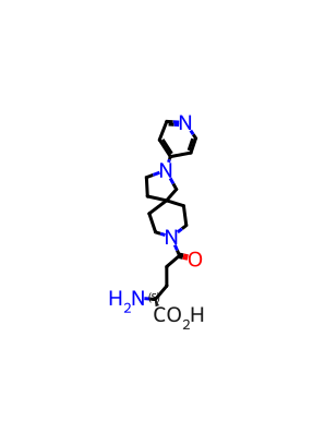 N[C@@H](CCC(=O)N1CCC2(CC1)CCN(c1ccncc1)C2)C(=O)O